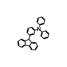 c1ccc(N(c2ccccc2)c2cccc(C3c4ccccc4-c4ccccc43)c2)cc1